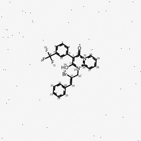 O=c1c(-c2cccc(C(F)(F)F)c2)c(O)[n+](C/C(Br)=C/c2ccccc2)c2ccccn12